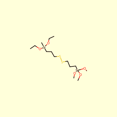 CCO[Si](C)(CCCSSCCC[Si](OC)(OC)OC)OCC